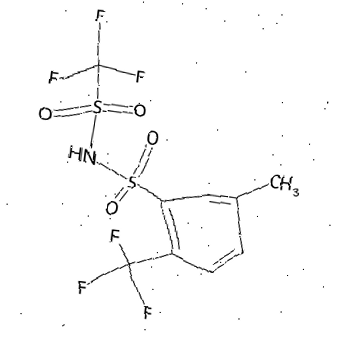 Cc1ccc(C(F)(F)F)c(S(=O)(=O)NS(=O)(=O)C(F)(F)F)c1